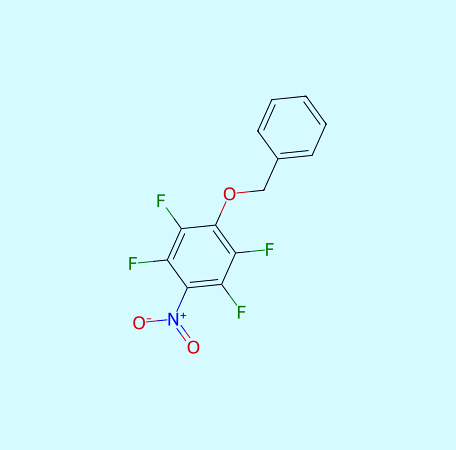 O=[N+]([O-])c1c(F)c(F)c(OCc2ccccc2)c(F)c1F